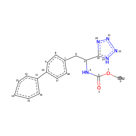 CC(C)(C)OC(=O)NC(Cc1ccc(-c2ccccc2)cc1)c1nnn[nH]1